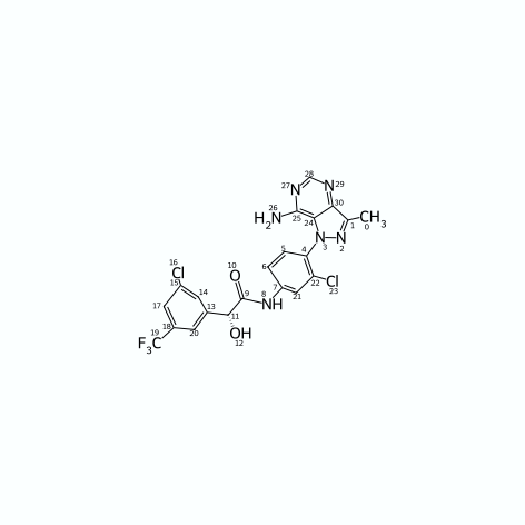 Cc1nn(-c2ccc(NC(=O)[C@H](O)c3cc(Cl)cc(C(F)(F)F)c3)cc2Cl)c2c(N)ncnc12